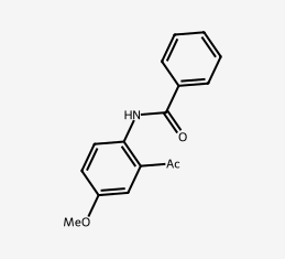 COc1ccc(NC(=O)c2ccccc2)c(C(C)=O)c1